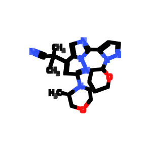 C[C@@H]1COCCN1c1cc(C(C)(C)C#N)c2cnc(-c3ccnn3C3CCCCO3)n2n1